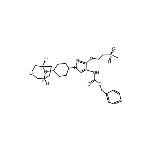 CS(=O)(=O)CCOc1nn(C2CCC(N3[C@@H]4CC[C@H]3COC4)CC2)cc1NC(=O)OCc1ccccc1